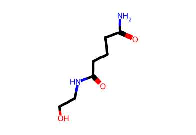 NC(=O)CCCC(=O)NCCO